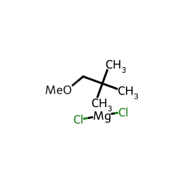 [CH2]OCC(C)(C)C.[Cl][Mg][Cl]